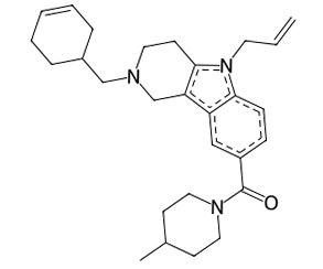 C=CCn1c2c(c3cc(C(=O)N4CCC(C)CC4)ccc31)CN(CC1CC=CCC1)CC2